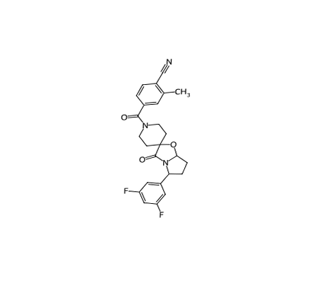 Cc1cc(C(=O)N2CCC3(CC2)OC2CCC(c4cc(F)cc(F)c4)N2C3=O)ccc1C#N